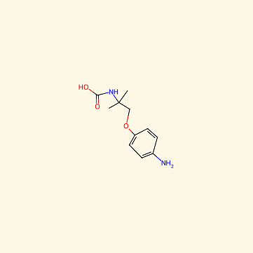 CC(C)(COc1ccc(N)cc1)NC(=O)O